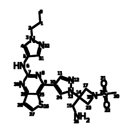 CCCn1cc(Nc2nc(-c3cnn(C4(CN)CN(S(C)(=O)=O)C4)c3)c3sccc3n2)cn1